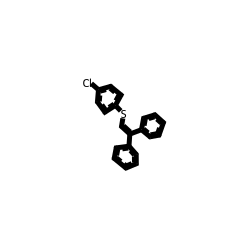 Clc1ccc(SC=C(c2ccccc2)c2ccccc2)cc1